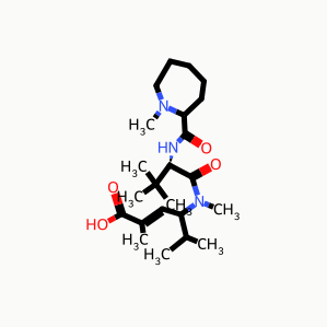 C/C(=C\C(C(C)C)N(C)C(=O)[C@@H](NC(=O)C1CCCCCN1C)C(C)(C)C)C(=O)O